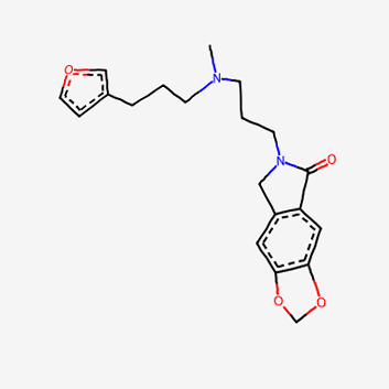 CN(CCCc1ccoc1)CCCN1Cc2cc3c(cc2C1=O)OCO3